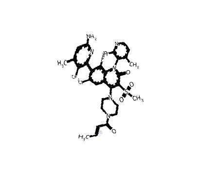 C/C=C/C(=O)N1CCN(c2c(S(C)(=O)=O)c(=O)n(-c3c(C)ccnc3C(C)C)c3c(F)c(-c4nc(N)cc(C)c4C(F)(F)F)c(Cl)cc23)CC1